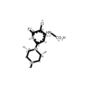 C[C@@H]1CN(C)C[C@H](C)N1c1cc(NC(=O)O)c(Cl)c(F)n1